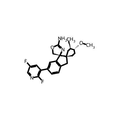 CO[C@@H]1CC[C@]2(Cc3ccc(-c4cc(F)cnc4F)cc3[C@@]23COC(N)=N3)C[C@H]1C